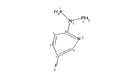 Fc1ccc(N(P)P)nc1